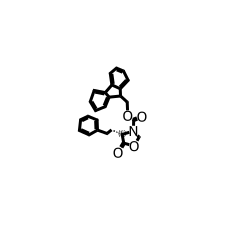 O=C1OCN(C(=O)OCC2c3ccccc3-c3ccccc32)[C@H]1CCc1ccccc1